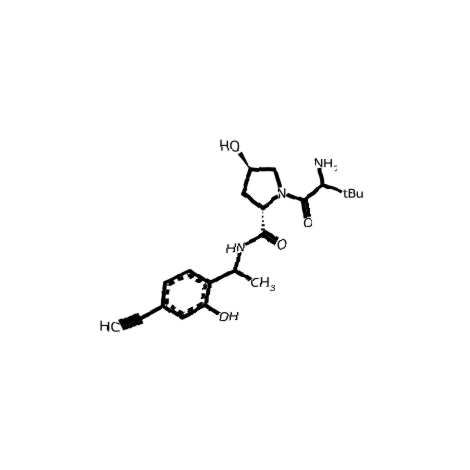 C#Cc1ccc(C(C)NC(=O)[C@@H]2C[C@@H](O)CN2C(=O)C(N)C(C)(C)C)c(O)c1